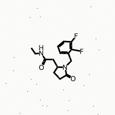 CCNC(=O)CC1CCC(=O)N1Cc1cccc(F)c1F